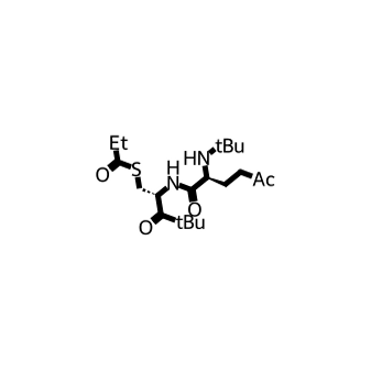 CCC(=O)SC[C@H](NC(=O)[C@H](CCC(C)=O)NC(C)(C)C)C(=O)C(C)(C)C